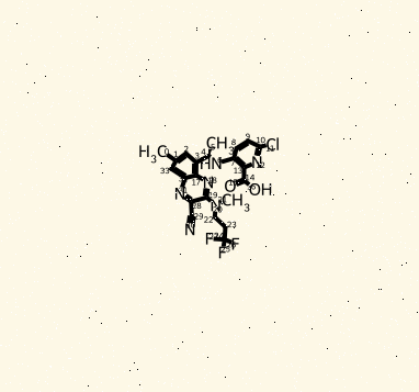 Cc1cc([C@@H](C)Nc2ccc(Cl)nc2C(=O)O)c2nc(N(C)CCC(F)(F)F)c(C#N)nc2c1